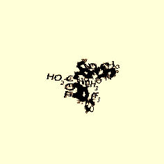 Cc1cc(N2CCOC[C@@H]2C(F)(F)F)cc(F)c1C(=O)N[C@@H](Cc1ccc(-n2c(=O)c3ncccc3n(C)c2=O)c2ncccc12)C(=O)O